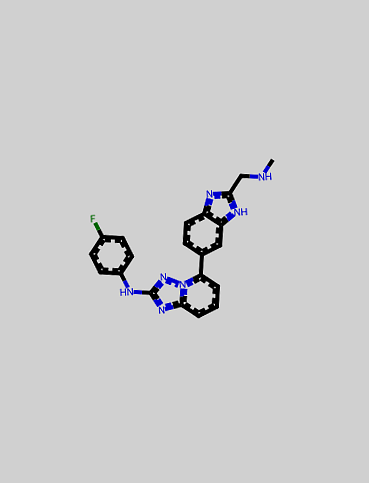 CNCc1nc2ccc(-c3cccc4nc(Nc5ccc(F)cc5)nn34)cc2[nH]1